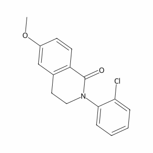 COc1ccc2c(c1)CCN(c1ccccc1Cl)C2=O